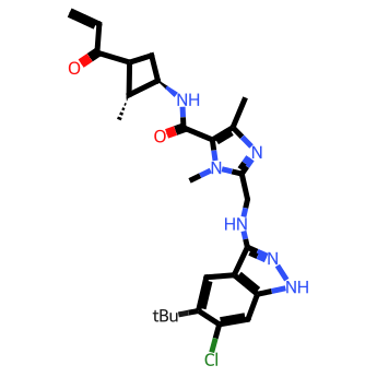 C=CC(=O)C1C[C@@H](NC(=O)c2c(C)nc(CNc3n[nH]c4cc(Cl)c(C(C)(C)C)cc34)n2C)[C@@H]1C